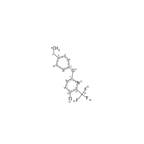 CCc1ccc(Oc2ccc(Cl)c(C(F)(F)F)n2)cc1